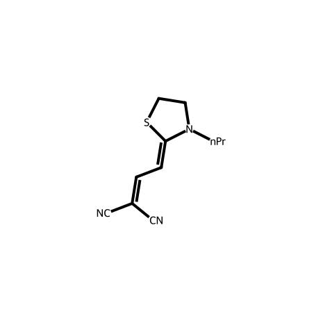 CCCN1CCSC1=CC=C(C#N)C#N